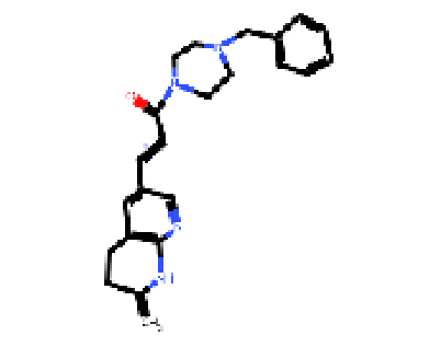 C=C1CCc2cc(/C=C/C(=O)N3CCN(Cc4ccccc4)CC3)cnc2N1